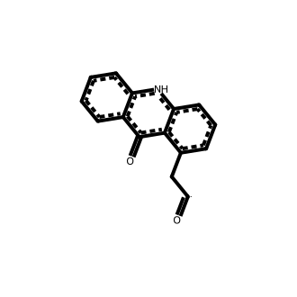 O=[C]Cc1cccc2[nH]c3ccccc3c(=O)c12